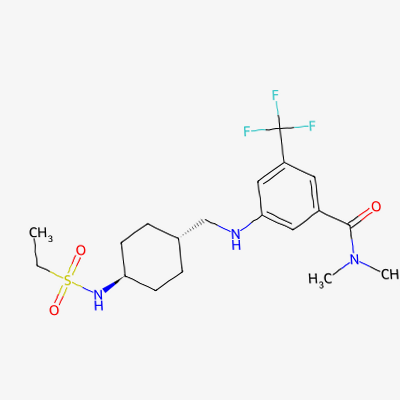 CCS(=O)(=O)N[C@H]1CC[C@H](CNc2cc(C(=O)N(C)C)cc(C(F)(F)F)c2)CC1